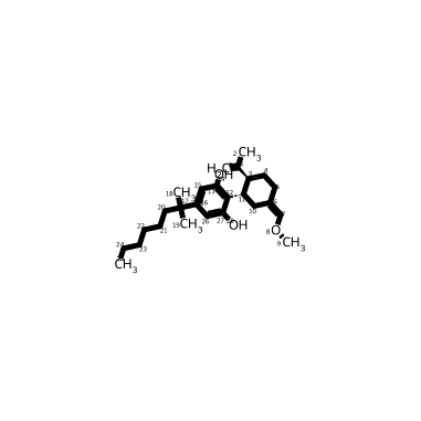 C=C(C)[C@H]1CCC(=COC)C[C@@H]1c1c(O)cc(C(C)(C)CCCCCC)cc1O